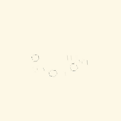 C=C(C)c1ccc(OCCc2ccc(C=CC(=O)c3ccccc3)cc2)cc1